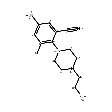 Cc1cc(N)cc(C#N)c1N1CCN(CCO)CC1